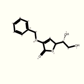 O=C1OC([C@H](O)CO)C=C1OCc1ccccc1